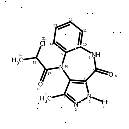 CCn1nc(C)c2c1C(=O)Nc1ccccc1N2C(=O)C(C)Cl